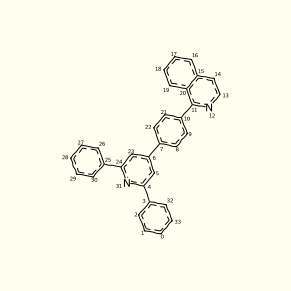 c1ccc(-c2cc(-c3ccc(-c4nccc5ccccc45)cc3)cc(-c3ccccc3)n2)cc1